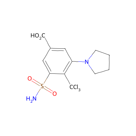 NS(=O)(=O)c1cc(C(=O)O)cc(N2CCCC2)c1C(Cl)(Cl)Cl